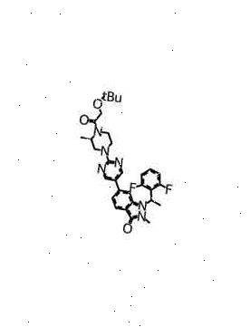 CC(c1c(F)cccc1F)n1c2cc(-c3cnc(N4CCN(C(=O)COC(C)(C)C)[C@H](C)C4)nc3)ccc2c(=O)n1C